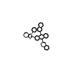 C1=Cc2c(nc(-c3ccc4c(C5=Cc6ccccc6CC5)c5ccccc5c(-c5ccc6ccccc6c5)c4c3)n2-c2ccccc2)CC1